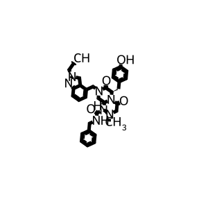 C#CCN1CC2C(CN3C[C@H]4N(C(=O)CN(C)N4C(=O)NCc4ccccc4)[C@@H](Cc4ccc(O)cc4)C3=O)=CC=CC2=N1